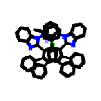 C=C/C=C(\C)c1cc(-c2ccccc2)cc(-c2ccccc2)c1-c1nc2ccccc2n1-c1cccc(-n2c(-c3c(-c4ccccc4)cc(-c4ccccc4)cc3-c3ccccc3)nc3ccccc32)c1Cl